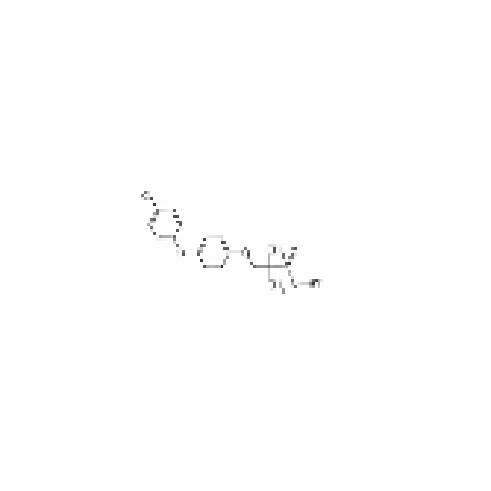 CC(C)OC(=O)C(C)(C)COc1ccc(Oc2ccc(Cl)cc2)cc1